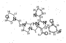 CC(=O)C1=C(CN2CCN(CCN3CCOCC3)CC2)NC(c2ccccn2)=NC1c1ccc(F)cc1Cl